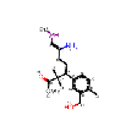 CCP/C=C(\N)CCC(c1ccc(C)c(CO)c1)C(C)(C)C(=O)OC